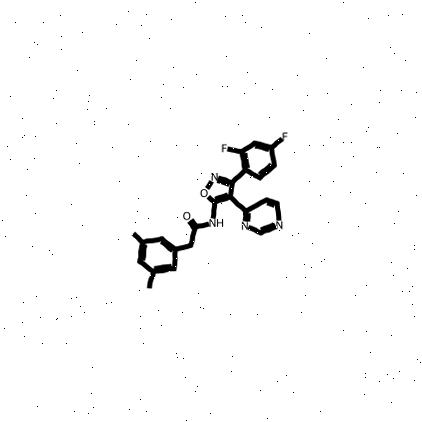 Cc1cc(C)cc(CC(=O)Nc2onc(-c3ccc(F)cc3F)c2-c2ccncn2)c1